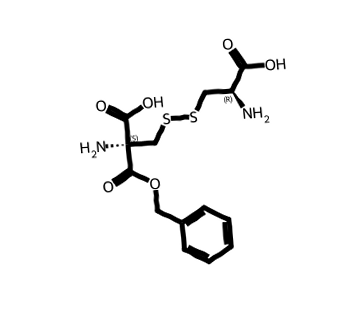 N[C@@H](CSSC[C@](N)(C(=O)O)C(=O)OCc1ccccc1)C(=O)O